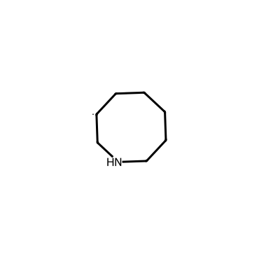 [CH]1CCCCCNC1